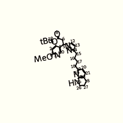 COc1ccc(C(CC(=O)OC(C)(C)C)n2ccc(CCCCc3ccc4c(n3)NCCC4)n2)cn1